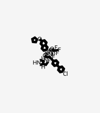 O=C([C@H](N(OC(=O)C(F)(F)F)S(=O)(=O)c1ccc2cc(OC3CCCC3)ccc2c1)C(F)(F)c1ccc(-c2ccc(Cl)cc2)cc1)N1CC[C@@H]2CNC[C@@H]21